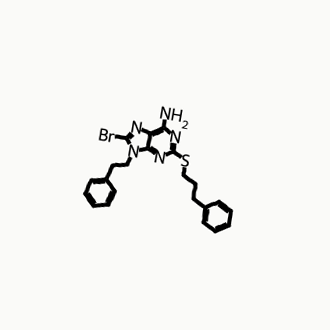 Nc1nc(SCCCc2ccccc2)nc2c1nc(Br)n2CCc1ccccc1